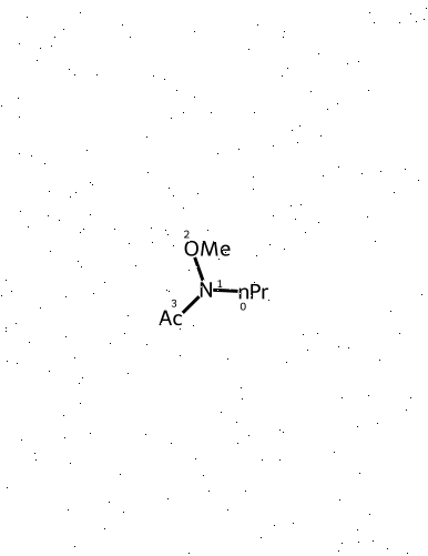 CCCN(OC)C(C)=O